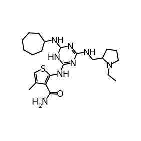 CCN1CCCC1CNC1=NC(NC2CCCCCC2)NC(Nc2scc(C)c2C(N)=O)=N1